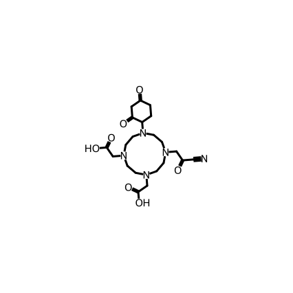 N#CC(=O)CN1CCN(CC(=O)O)CCN(CC(=O)O)CCN(C2CCC(=O)CC2=O)CC1